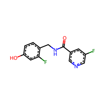 O=C(NCc1ccc(O)cc1F)c1cncc(F)c1